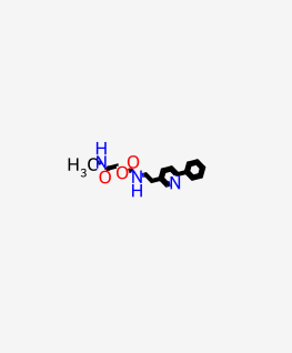 CNC(=O)COC(=O)NCCc1ccc(-c2ccccc2)nc1